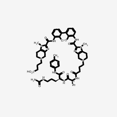 Cc1ccc(NC(=O)[C@H](CCCNC(N)=O)NC(=O)[C@@H](NC(=O)CCCN2CCc3c(nc(C(=O)Nc4cccc(-c5cccc(NC(=O)c6nc7c(n6C)CCN(CCCC(=O)O)C7)c5Cl)c4Cl)n3C)C2)C(C)C)cc1